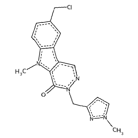 Cn1ccc(Cn2ncc3c4cc(CCl)ccc4n(C)c3c2=O)n1